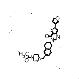 CC(=O)N1CCN(Cc2ccc3c(c2)CCC(n2cnc4cc(-c5ccoc5)sc4c2=O)C3)CC1